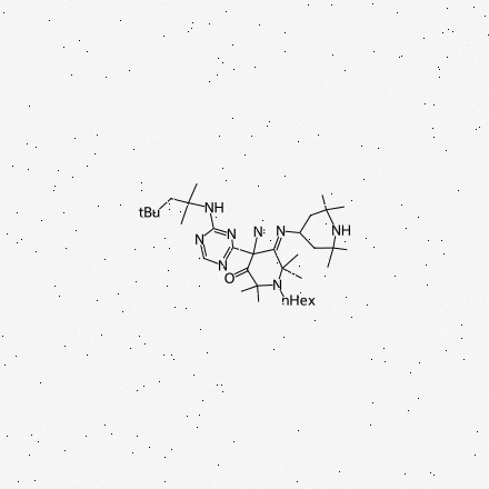 [CH2]CCCCCN1C(C)(C)C(=O)C([N])(c2n[c]nc(NC(C)(C)CC(C)(C)C)n2)C(=NC2CC(C)(C)NC(C)(C)C2)C1(C)C